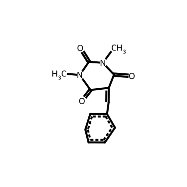 CN1C(=O)C(=Cc2ccccc2)C(=O)N(C)C1=O